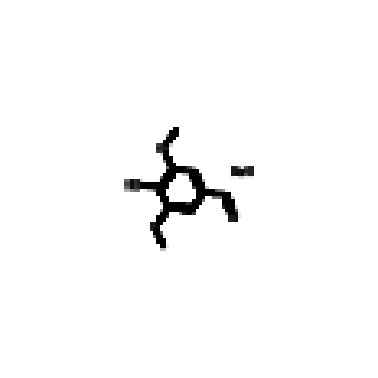 COc1cc(C=O)cc(OC)c1O.[NaH]